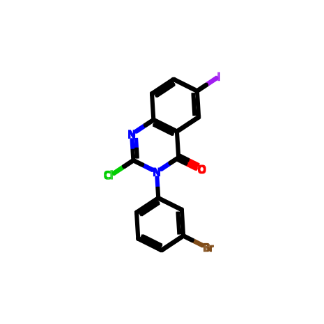 O=c1c2cc(I)ccc2nc(Cl)n1-c1cccc(Br)c1